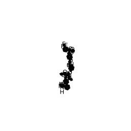 CCCc1nc(CSc2ccc3nc(COc4ccc(CN(OC(C)=O)C(=O)c5cccc(C(F)(F)F)c5)cc4)n(C)c3c2)c(C(=O)OCC)n1Cc1ccc(-c2ccccc2-c2nnn[nH]2)cc1